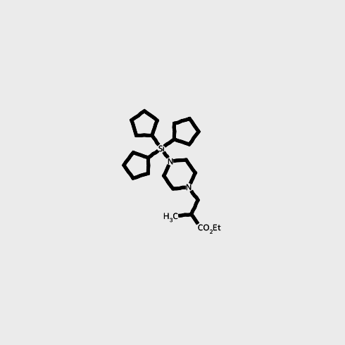 CCOC(=O)C(C)CN1CCN([Si](C2CCCC2)(C2CCCC2)C2CCCC2)CC1